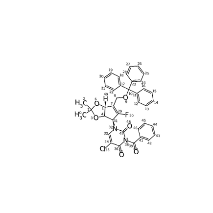 CC1(C)OC2[C@H](O1)C(COC(c1ccccc1)(c1ccccc1)c1ccccc1)=C(F)[C@H]2n1cc(Cl)c(=O)n(C(=O)c2ccccc2)c1=O